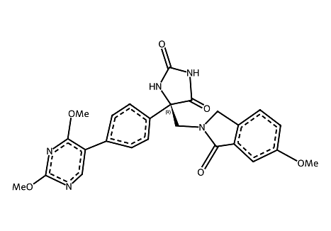 COc1ccc2c(c1)C(=O)N(C[C@@]1(c3ccc(-c4cnc(OC)nc4OC)cc3)NC(=O)NC1=O)C2